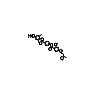 COc1cc(OCCC(C)OC)ccc1C(=O)Oc1ccc(C(=O)Oc2c(C)cc(O)cc2C)cc1